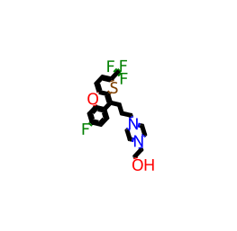 OCCN1CCN(CCCC2=C3SC(C(F)(F)F)=CC=C3Oc3cc(F)ccc32)CC1